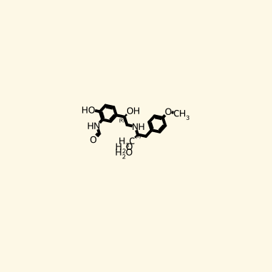 COc1ccc(C[C@@H](C)NC[C@H](O)c2ccc(O)c(NC=O)c2)cc1.O.O